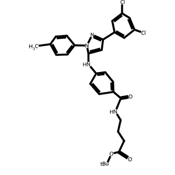 Cc1ccc(-n2nc(-c3cc(Cl)cc(Cl)c3)cc2Nc2ccc(C(=O)NCCCC(=O)OC(C)(C)C)cc2)cc1